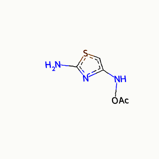 CC(=O)ONc1csc(N)n1